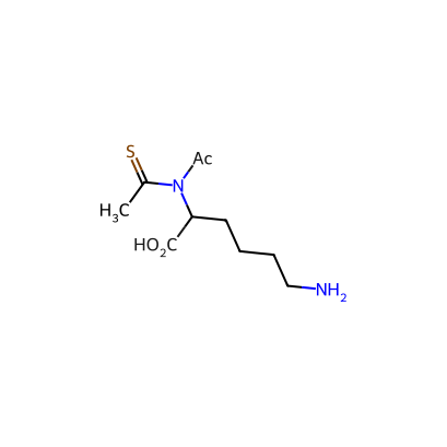 CC(=O)N(C(C)=S)C(CCCCN)C(=O)O